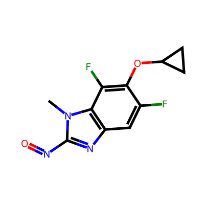 Cn1c(N=O)nc2cc(F)c(OC3CC3)c(F)c21